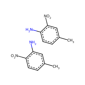 Cc1ccc(N)c([N+](=O)[O-])c1.Cc1ccc([N+](=O)[O-])c(N)c1